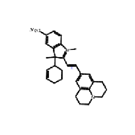 COc1ccc2c(c1)C(C)(C1C=CCCC1)C(/C=C/c1cc3c4c(c1)CCCN4CCC3)=[N+]2C